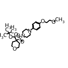 COCCOc1ccc(N2CCN(S(=O)(=O)C3(C(=O)OC(C)(C)C)CCOCC3)CC2)cc1